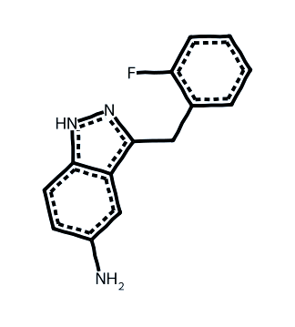 Nc1ccc2[nH]nc(Cc3ccccc3F)c2c1